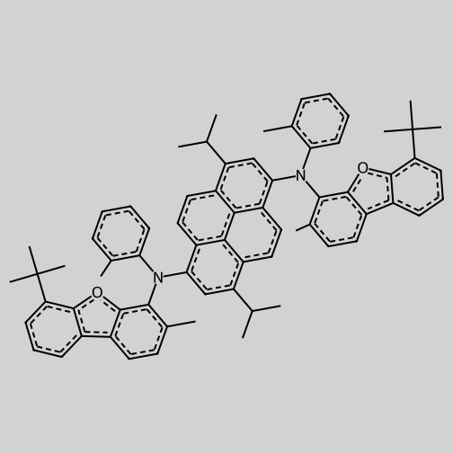 Cc1ccccc1N(c1cc(C(C)C)c2ccc3c(N(c4ccccc4C)c4c(C)ccc5c4oc4c(C(C)(C)C)cccc45)cc(C(C)C)c4ccc1c2c43)c1c(C)ccc2c1oc1c(C(C)(C)C)cccc12